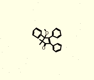 COC1(c2ccccc2)C(c2ccccc2)=C(c2ccccc2)C(=O)C1(C)C